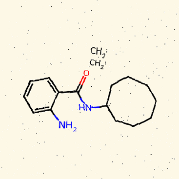 Nc1ccccc1C(=O)N[C]1CCCCCCC1.[CH2].[CH2]